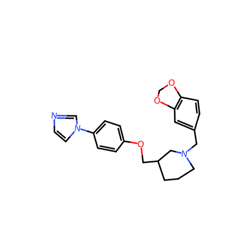 c1cn(-c2ccc(OCC3CCCN(Cc4ccc5c(c4)OCO5)C3)cc2)cn1